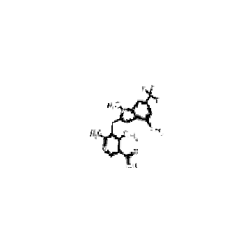 Cc1ncc(C(=O)O)c(C)c1Cc1cc2c(C)cc(C(F)(F)F)cc2n1C